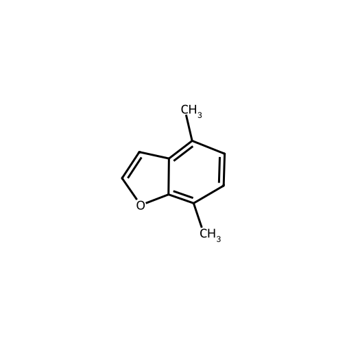 Cc1ccc(C)c2occc12